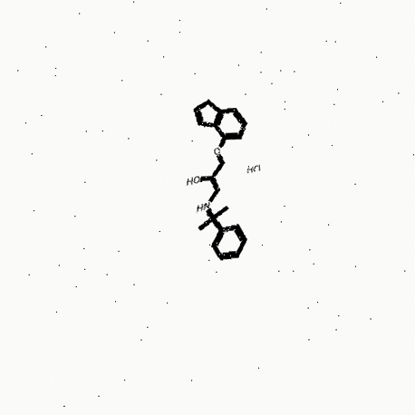 CC(C)(NCC(O)COc1cccc2c1C=CC2)c1ccccc1.Cl